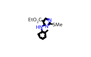 CCOC(=O)c1cnc(SC)nc1Nc1ccccc1C